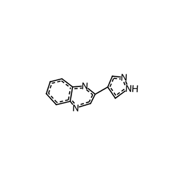 c1ccc2nc(-c3cn[nH]c3)cnc2c1